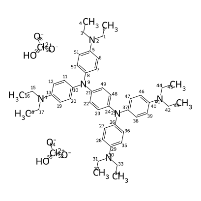 CCN(CC)c1ccc(N(c2ccc(N(CC)CC)cc2)c2ccc(N(c3ccc(N(CC)CC)cc3)c3ccc(N(CC)CC)cc3)cc2)cc1.[O-][Cl+2]([O-])O.[O-][Cl+2]([O-])O